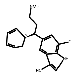 CNCCC(c1cc(F)c2[nH]cc(C#N)c2c1)[C@@H]1C=CC=CC1